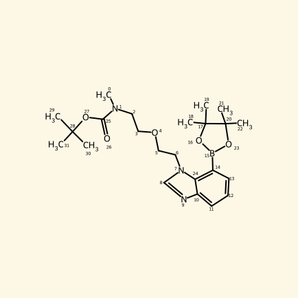 CN(CCOCCn1cnc2cccc(B3OC(C)(C)C(C)(C)O3)c21)C(=O)OC(C)(C)C